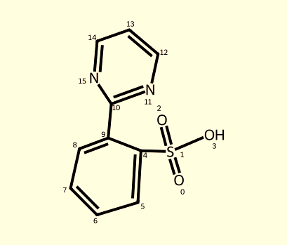 O=S(=O)(O)c1ccccc1-c1ncccn1